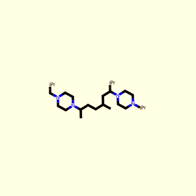 CC(C)CN1CCN(C(C)CCC(C)CC(C(C)C)N2CCN(C(C)C)CC2)CC1